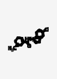 CN1CCC=C(C(=O)Nn2ccc3cc(Cl)ccc32)C1